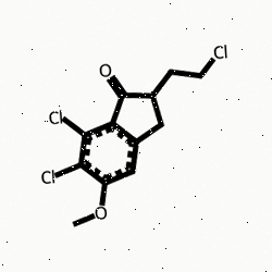 COc1cc2c(c(Cl)c1Cl)C(=O)C(CCCl)C2